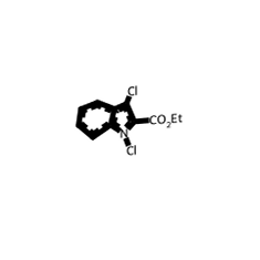 CCOC(=O)c1c(Cl)c2ccccc2n1Cl